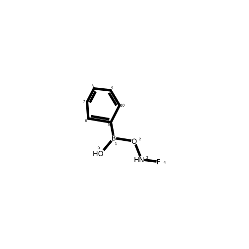 OB(ONF)c1ccccc1